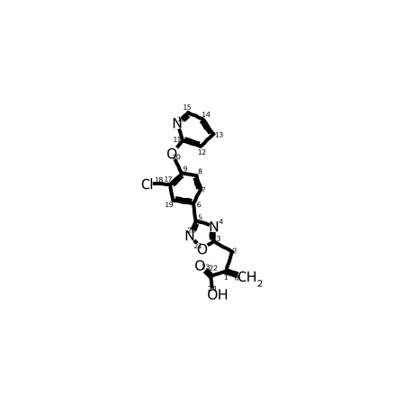 C=C(Cc1nc(-c2ccc(Oc3ccccn3)c(Cl)c2)no1)C(=O)O